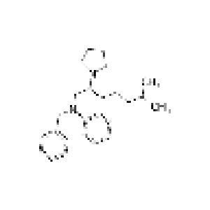 CC(C)CCCC(CN(Cc1ccccc1)c1ccccc1)N1CCCC1